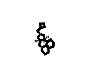 c1cc2c3c(c1)[C@@H]1CN(CC4CCC4)C[C@@H]1CN3CCC2